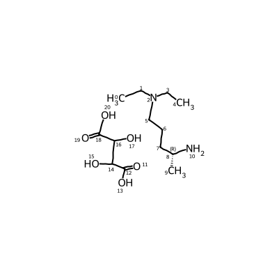 CCN(CC)CCC[C@@H](C)N.O=C(O)C(O)C(O)C(=O)O